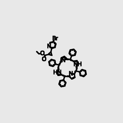 C1=Cc2nc1c(-c1ccccc1)c1ccc([nH]1)c(-c1ccccc1)c1nc(c(-c3ccccc3)c3ccc([nH]3)c2-c2ccccc2)C=C1.CCOC(=O)C1CC1c1ccc(Br)cn1